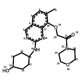 Cc1ccc2cnc(NC3CCC(O)CC3)nc2c1OCC(=O)N1CCOCC1